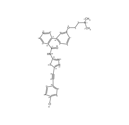 CN(C)CCOc1cccc(-c2cnccc2C(=O)Nc2nnc(C#Cc3ccc(Cl)cc3)s2)c1